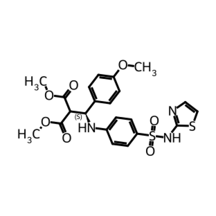 COC(=O)C(C(=O)OC)[C@H](Nc1ccc(S(=O)(=O)Nc2nccs2)cc1)c1ccc(OC)cc1